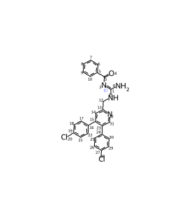 N/C(=N\C(=O)c1ccccc1)NCc1cc(-c2ccc(Cl)cc2)c(-c2ccc(Cl)cc2)cn1